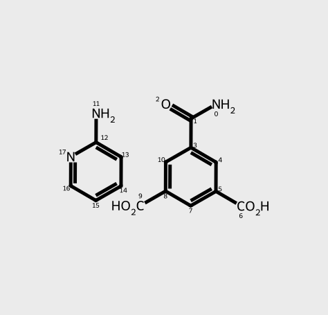 NC(=O)c1cc(C(=O)O)cc(C(=O)O)c1.Nc1ccccn1